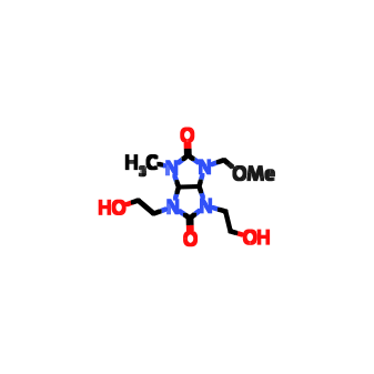 COCN1C(=O)N(C)C2C1N(CCO)C(=O)N2CCO